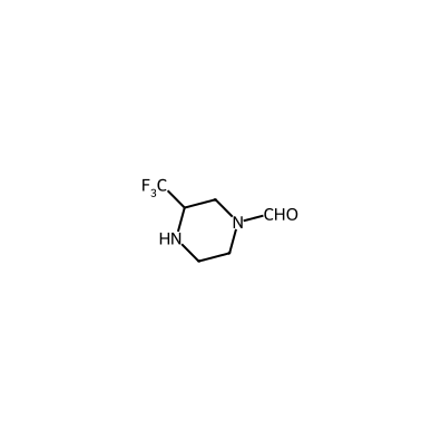 O=CN1CCNC(C(F)(F)F)C1